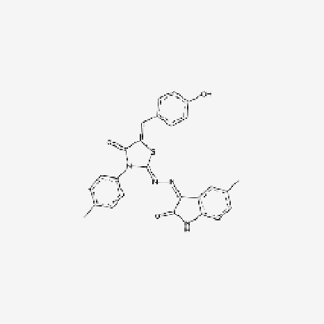 Cc1ccc(N2C(=O)C(=Cc3ccc(O)cc3)SC2=NN=C2C(=O)Nc3ccc(C)cc32)cc1